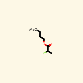 COCCCOC(=O)C(C)F